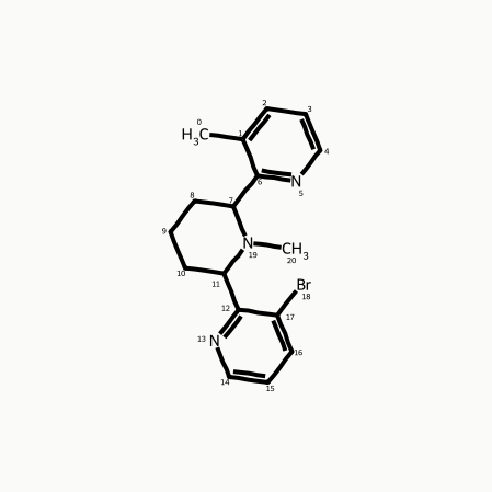 Cc1cccnc1C1CCCC(c2ncccc2Br)N1C